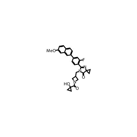 COc1ccc2ccc(-c3ccc(C4=NC5(CC5)C(=O)N4CC4CN(C(=O)C5(O)CC5)C4)c(F)c3)cc2c1